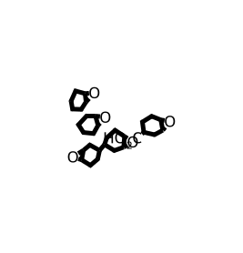 C1CC2OC2CC1C1CCC2OC2C1.C1CCC2OC2C1.C1CCC2OC2C1.O=C(O)C1CCC2OC2C1